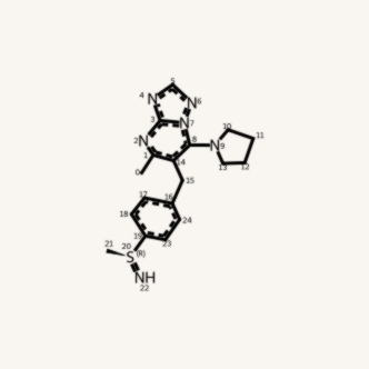 Cc1nc2ncnn2c(N2CCCC2)c1Cc1ccc([S@](C)=N)cc1